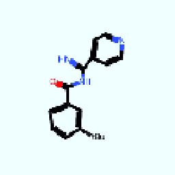 CC(C)(C)c1cccc(C(=O)NC(=N)c2ccncc2)c1